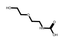 O=C(O)NCCOCCO